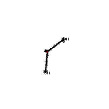 O=C(O)C(=O)CCCCCCCCCCCCCCCCCCC1C2C=CC(C2)C1CCCCCCCCCCCCCCCCCCC(=O)C(=O)O